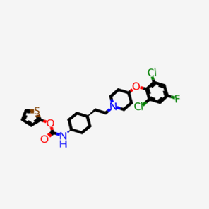 O=C(N[C@H]1CC[C@H](CCN2CCC(Oc3c(Cl)cc(F)cc3Cl)CC2)CC1)Oc1cccs1